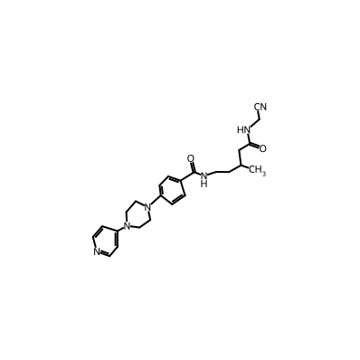 CC(CCNC(=O)c1ccc(N2CCN(c3ccncc3)CC2)cc1)CC(=O)NCC#N